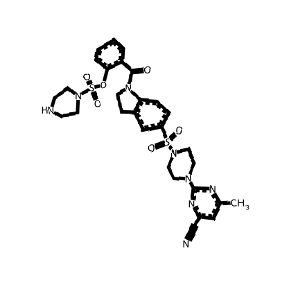 Cc1cc(C#N)nc(N2CCN(S(=O)(=O)c3ccc4c(c3)CCN4C(=O)c3ccccc3OS(=O)(=O)N3CCNCC3)CC2)n1